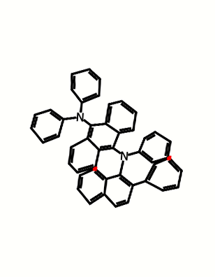 c1ccc(-c2ccc3ccccc3c2N(c2ccccc2)c2c3ccccc3c(N(c3ccccc3)c3ccccc3)c3ccccc23)cc1